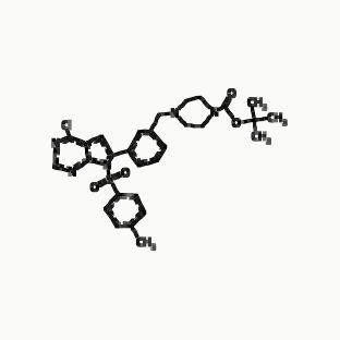 Cc1ccc(S(=O)(=O)n2c(-c3cccc(CN4CCN(C(=O)OC(C)(C)C)CC4)c3)cc3c(Cl)ncnc32)cc1